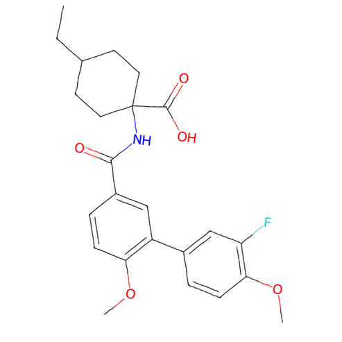 CCC1CCC(NC(=O)c2ccc(OC)c(-c3ccc(OC)c(F)c3)c2)(C(=O)O)CC1